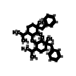 CC(C)C1CCC(C)(Cc2ccccc2)C(Cl)C1OC1C(C(C)C)CCC(C)(Cc2ccccc2)C1Cl